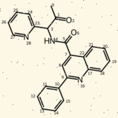 CC(=O)C(NC(=O)c1cc(-c2ccccc2)nc2ccccc12)c1ccccn1